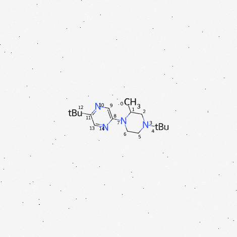 CC1CN(C(C)(C)C)CCN1c1cnc(C(C)(C)C)cn1